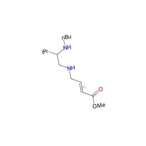 CCCCNC(CNC/C=C/C(=O)OC)C(C)C